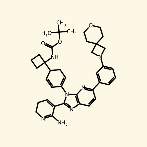 CC(C)(C)OC(=O)NC1(C2C=CC(n3c(C4=CCCN=C4N)nc4ccc(-c5cccc(N6CC7(CCOCC7)C6)c5)nc43)=CC2)CCC1